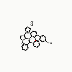 CC1C=CC(c2ccsc2)=[C]1[Zr+2](=[C](c1ccccc1)c1ccccc1)[c]1c(C(C)(C)C)ccc2c1Cc1cc(C(C)(C)C)ccc1-2.[Cl-].[Cl-]